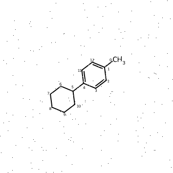 Cc1ccc(C2[CH]CCCC2)cc1